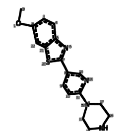 COc1ccc2nc(-c3ccc(N4CCNCC4)nc3)sc2c1